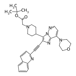 CC(C)(C)OC(=O)CN1CCC(c2c(C#Cc3ccc4ccccc4n3)nc3c(N4CCOCC4)ccnn23)CC1